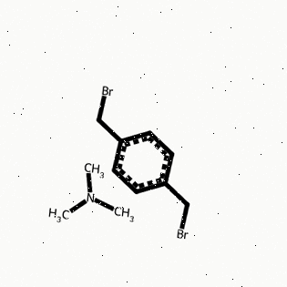 BrCc1ccc(CBr)cc1.CN(C)C